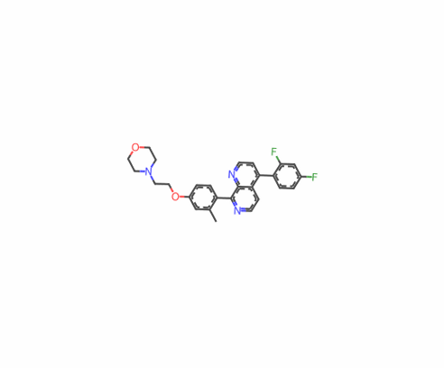 Cc1cc(OCCN2CCOCC2)ccc1-c1nccc2c(-c3ccc(F)cc3F)ccnc12